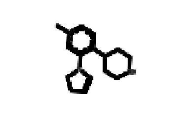 Cc1ccc(C2CCNCC2)c(N2C=CCC2)c1